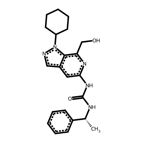 C[C@@H](NC(=O)Nc1cc2cnn(C3CCCCC3)c2c(CO)n1)c1ccccc1